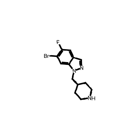 Fc1cc2cnn(CC3CCNCC3)c2cc1Br